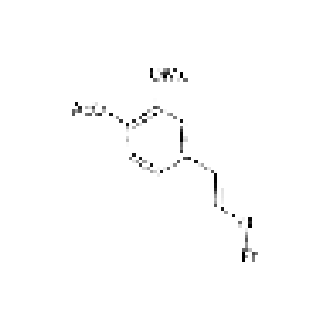 CCOC=Cc1ccc(OC(C)=O)c(OC)c1